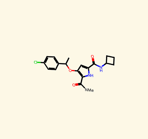 CNC(=O)c1[nH]c(C(=O)NC2CCC2)cc1OC(C)c1ccc(Cl)cc1